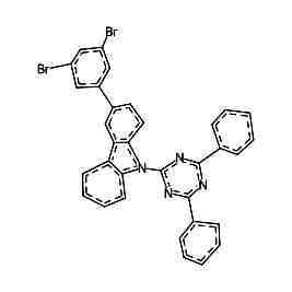 Brc1cc(Br)cc(-c2ccc3c(c2)c2ccccc2n3-c2nc(-c3ccccc3)nc(-c3ccccc3)n2)c1